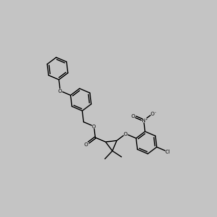 CC1(C)C(Oc2ccc(Cl)cc2[N+](=O)[O-])C1C(=O)OCc1cccc(Oc2ccccc2)c1